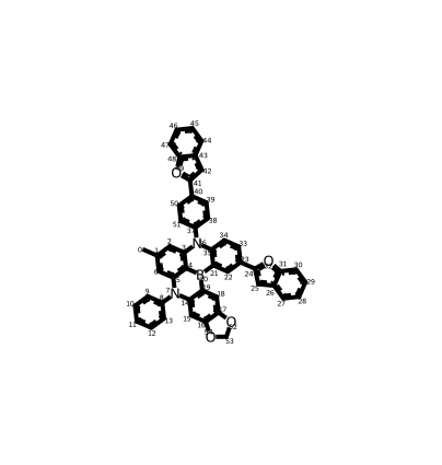 Cc1cc2c3c(c1)N(c1ccccc1)c1cc4c(cc1B3c1cc(-c3cc5ccccc5o3)ccc1N2c1ccc(-c2cc3ccccc3o2)cc1)OCO4